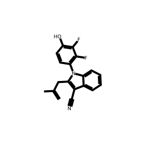 C=C(C)Cc1c(C#N)c2ccccc2n1-c1ccc(O)c(F)c1F